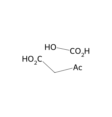 CC(=O)CC(=O)O.O=C(O)O